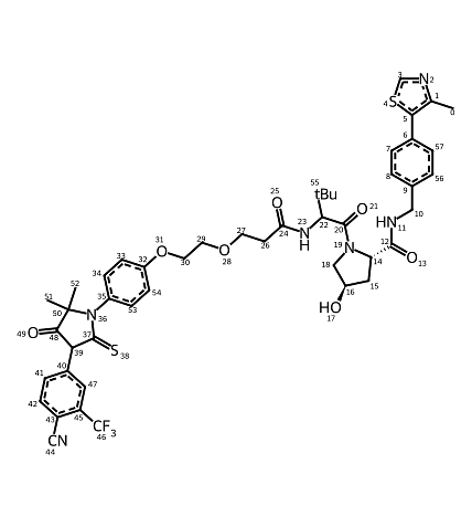 Cc1ncsc1-c1ccc(CNC(=O)[C@@H]2C[C@@H](O)CN2C(=O)C(NC(=O)CCOCCOc2ccc(N3C(=S)C(c4ccc(C#N)c(C(F)(F)F)c4)C(=O)C3(C)C)cc2)C(C)(C)C)cc1